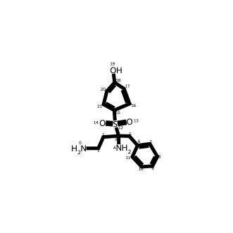 NCCC(N)(Cc1ccccc1)S(=O)(=O)c1ccc(O)cc1